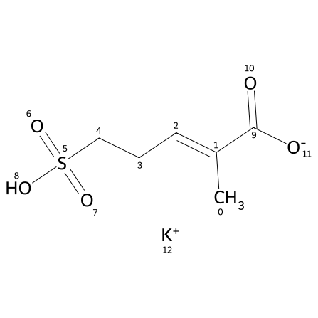 C/C(=C\CCS(=O)(=O)O)C(=O)[O-].[K+]